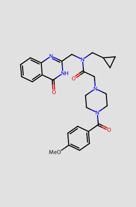 COc1ccc(C(=O)N2CCN(CC(=O)N(Cc3nc4ccccc4c(=O)[nH]3)CC3CC3)CC2)cc1